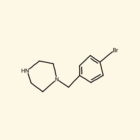 Brc1ccc(CN2CCNCC2)cc1